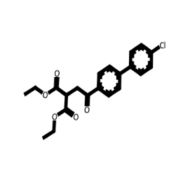 CCOC(=O)C(CC(=O)c1ccc(-c2ccc(Cl)cc2)cc1)C(=O)OCC